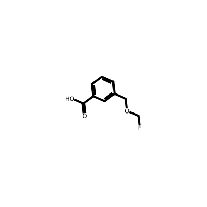 O=C(O)c1cccc(COCF)c1